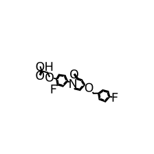 O=C(O)COc1ccc(-n2ccc(OCc3ccc(F)cc3)cc2=O)cc1F